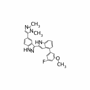 COc1cc(F)cc(-c2cccc3[nH]c(-c4n[nH]c5ccc(-c6cnc(C)n6C)cc45)cc23)c1